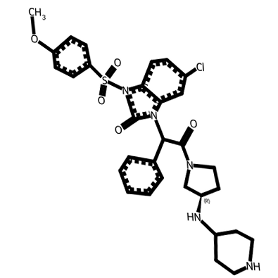 COc1ccc(S(=O)(=O)n2c(=O)n(C(C(=O)N3CC[C@@H](NC4CCNCC4)C3)c3ccccc3)c3cc(Cl)ccc32)cc1